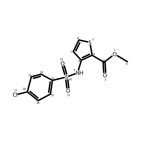 COC(=O)c1sccc1NS(=O)(=O)c1ccc(Cl)cc1